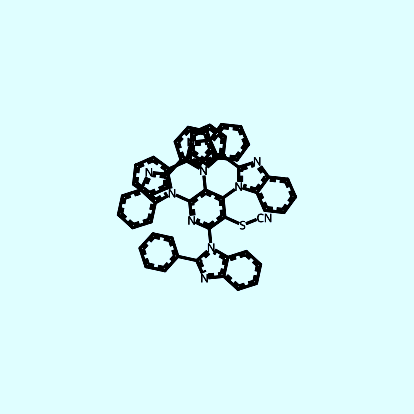 N#CSc1c(-n2c(-c3ccccc3)nc3ccccc32)nc(-n2c(-c3ccccc3)nc3ccccc32)c(-n2c(-c3ccccc3)nc3ccccc32)c1-n1c(-c2ccccc2)nc2ccccc21